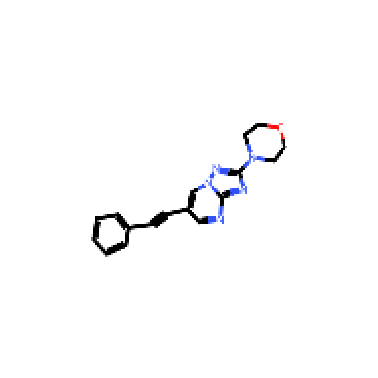 C(#Cc1cnc2nc(N3CCOCC3)nn2c1)c1ccccc1